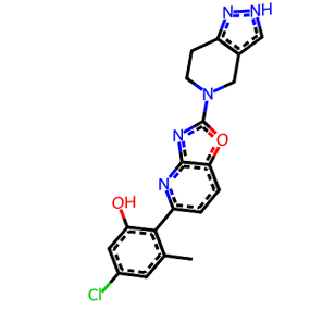 Cc1cc(Cl)cc(O)c1-c1ccc2oc(N3CCc4n[nH]cc4C3)nc2n1